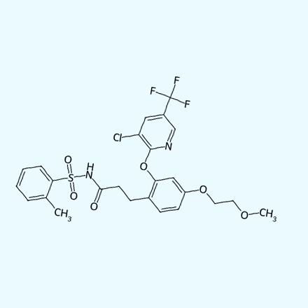 COCCOc1ccc(CCC(=O)NS(=O)(=O)c2ccccc2C)c(Oc2ncc(C(F)(F)F)cc2Cl)c1